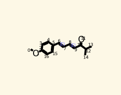 COc1ccc(/C=C/C=C/C(=O)C(C)C)cc1